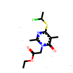 CCOC(=O)Cn1c(C)nc(SC(C)Cl)c(C)c1=O